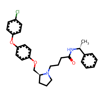 C[C@@H](NC(=O)CCCN1CCC[C@H]1COc1ccc(Oc2ccc(Cl)cc2)cc1)c1ccccc1